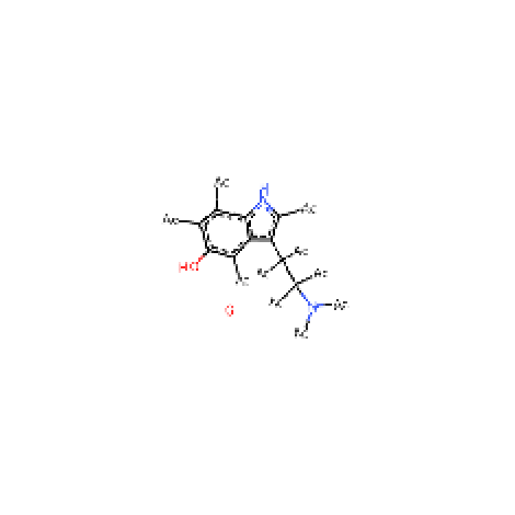 CC(=O)c1[nH]c2c(C(C)=O)c(C(C)=O)c(O)c(C(C)=O)c2c1C(C(C)=O)(C(C)=O)C(C(C)=O)(C(C)=O)N(C(C)=O)C(C)=O.[O]